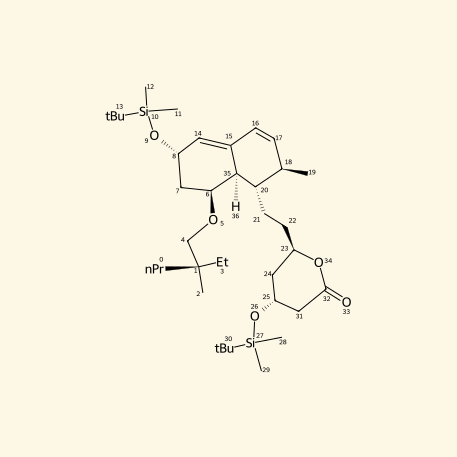 CCC[C@](C)(CC)CO[C@H]1C[C@H](O[Si](C)(C)C(C)(C)C)C=C2C=C[C@@H](C)[C@H](CC[C@@H]3C[C@@H](O[Si](C)(C)C(C)(C)C)CC(=O)O3)[C@H]21